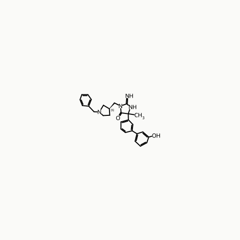 CC1(c2cccc(-c3cccc(O)c3)c2)NC(=N)N(C[C@H]2CCN(Cc3ccccc3)C2)C1=O